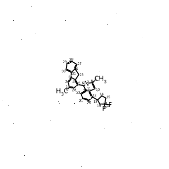 Cc1cc2c(c(-c3nc(C)cc4c(C5CCC(F)(F)C5)cccc34)c1)Cc1ccccc1-2